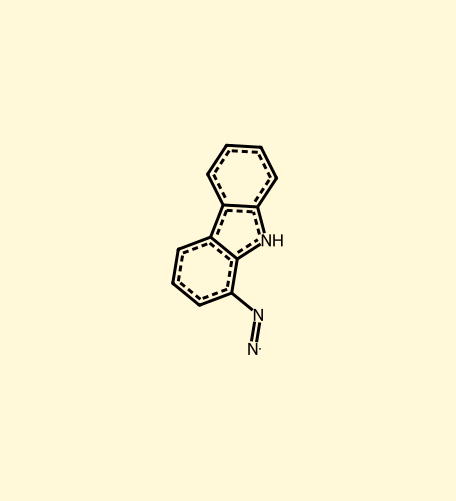 [N]=Nc1cccc2c1[nH]c1ccccc12